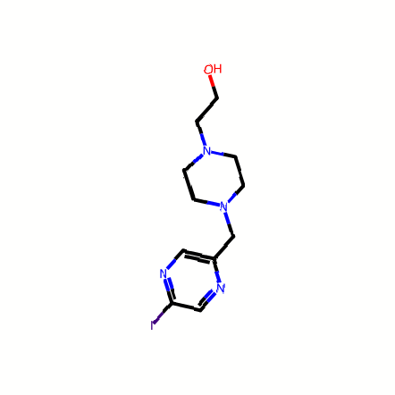 OCCN1CCN(Cc2cnc(I)cn2)CC1